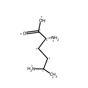 CC(N)CC[C@@H](N)C(=O)O